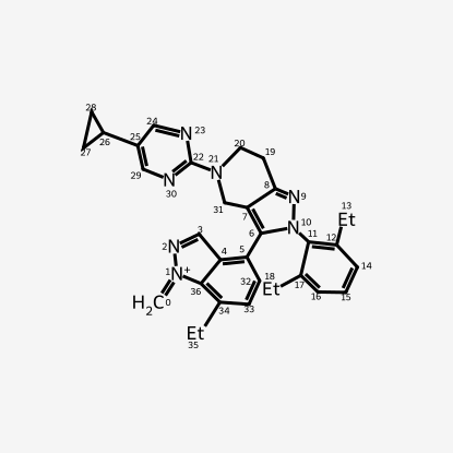 C=[N+]1N=Cc2c(-c3c4c(nn3-c3c(CC)cccc3CC)CCN(c3ncc(C5CC5)cn3)C4)ccc(CC)c21